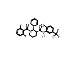 Cc1cccc(C)c1C(=O)N1CCC[C@H](C(=O)Nc2cc(C(F)(F)F)ccc2Cl)[C@@H]1C1C=CC=CC1